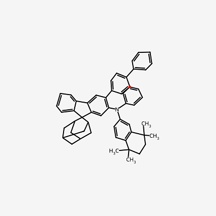 CC1(C)CCC(C)(C)c2cc(N(c3ccccc3)c3cc4c(cc3-c3ccc(-c5ccccc5)cc3)-c3ccccc3C43C4CC5CC(C4)CC3C5)ccc21